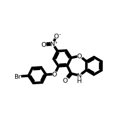 O=C1Nc2ccccc2Oc2cc([N+](=O)[O-])cc(Oc3ccc(Br)cc3)c21